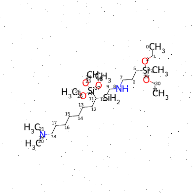 CCO[Si](C)(CCCNC[SiH2]C(CCCCCCCN(C)C)[Si](OC)(OC)OC)OCC